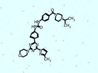 Cc1ccn(-c2nc(-c3ccc(NC(=O)Nc4ccc(C(=O)N5CCN(C(C)C)CC5)cc4)cc3)nc(N3CCOCC3)n2)n1